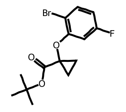 CC(C)(C)OC(=O)C1(Oc2cc(F)ccc2Br)CC1